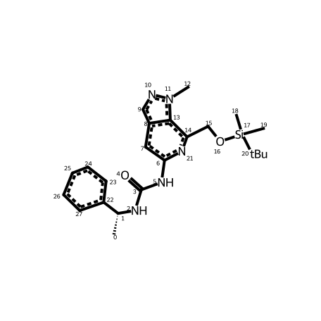 C[C@@H](NC(=O)Nc1cc2cnn(C)c2c(CO[Si](C)(C)C(C)(C)C)n1)c1ccccc1